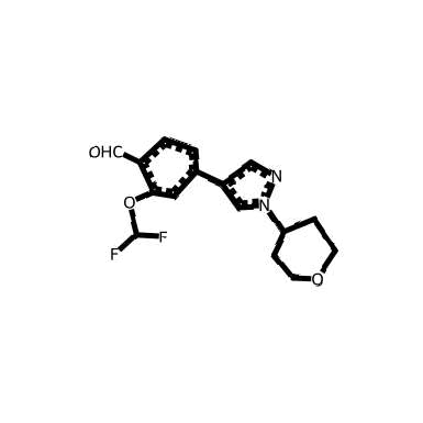 O=Cc1ccc(-c2cnn(C3CCOCC3)c2)cc1OC(F)F